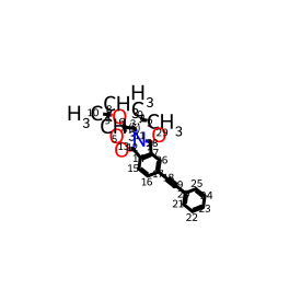 CC(C)[C@@H](C(=O)OC(C)(C)C)N1C(=O)c2ccc(C#Cc3ccccc3)cc2C1=O